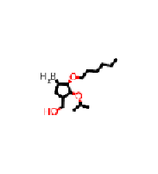 BC1CC(CO)C(OC(C)C)C1OCCCCCC